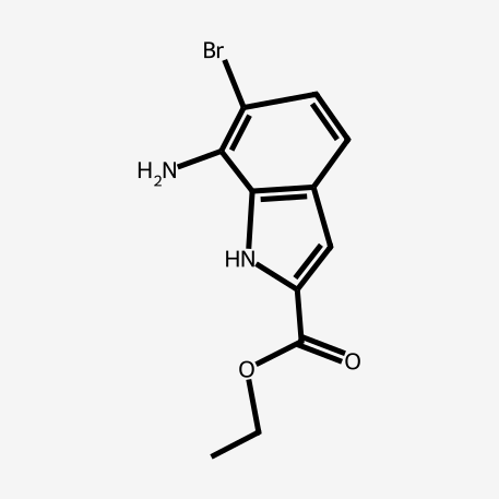 CCOC(=O)c1cc2ccc(Br)c(N)c2[nH]1